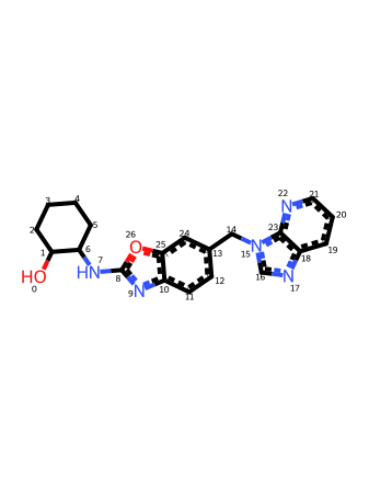 OC1CCCCC1Nc1nc2ccc(Cn3cnc4cccnc43)cc2o1